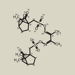 CC(=NOS(=O)(=O)CC12CCC(CC1=O)C2(C)C)C(C)=NOS(=O)(=O)CC12CCC(CC1=O)C2(C)C